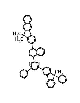 CC1(C)c2cc(-c3ccc(-c4nc(-c5ccccc5)cc(-c5ccc6c(c5)-c5ccccc5C6(C)c5ccccc5)n4)c4ccccc34)ccc2-c2cc3ccccc3cc21